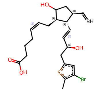 B=C[C@@H]1CC(O)[C@H](C/C=C\CCCC(=O)O)[C@H]1/C=C/[C@@H](O)Cc1cc(Br)c(C)s1